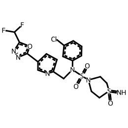 N=S1(=O)CCN(S(=O)(=O)N(Cc2ccc(-c3nnc(C(F)F)o3)cn2)c2cccc(Cl)c2)CC1